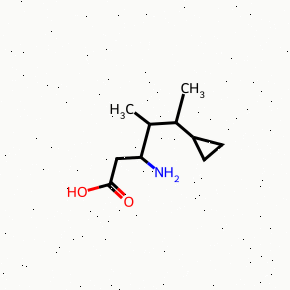 CC(C(N)CC(=O)O)C(C)C1CC1